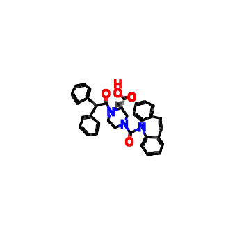 O=C(O)[C@@H]1CN(C(=O)N2c3ccccc3C=Cc3ccccc32)CCN1C(=O)C(c1ccccc1)c1ccccc1